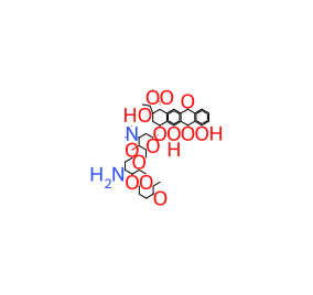 CC[C@@]1(O)C[C@H](O[C@H]2C[C@@H](N(C)C)[C@H](O[C@H]3C[C@@H](N)[C@H](O[C@H]4CCC(=O)C(C)O4)C(C)O3)C(C)O2)c2c(cc3c(c2O)C(=O)c2c(O)cccc2C3=O)[C@H]1C(=O)OC